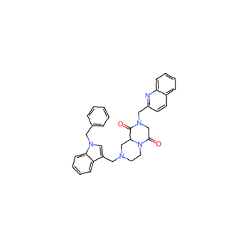 O=C1C2CN(Cc3cn(Cc4ccccc4)c4ccccc34)CCN2C(=O)CN1Cc1ccc2ccccc2n1